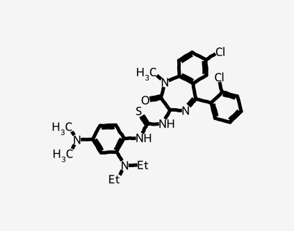 CCN(CC)c1cc(N(C)C)ccc1NC(=S)NC1N=C(c2ccccc2Cl)c2cc(Cl)ccc2N(C)C1=O